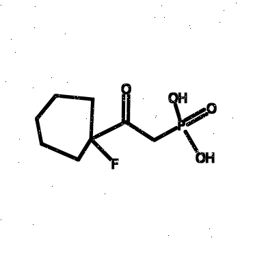 O=C(CP(=O)(O)O)C1(F)CCCCC1